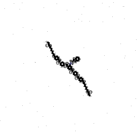 C=CC(=O)OCCCCCCOc1ccc(OC(=O)[C@H]2CC[C@@H](OC(=O)c3ccc(OC(=O)[C@H]4CC[C@@H](OC(=O)c5ccc(OCCCCCCOC(=O)C=C)cc5)CC4)cc3/C=N/N(C)c3nc4ccccc4s3)CC2)cc1